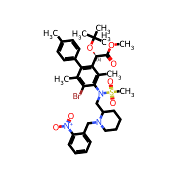 COC(=O)[C@@H](OC(C)(C)C)c1c(C)c(N(CC2CCCCN2Cc2ccccc2[N+](=O)[O-])S(C)(=O)=O)c(Br)c(C)c1-c1ccc(C)cc1